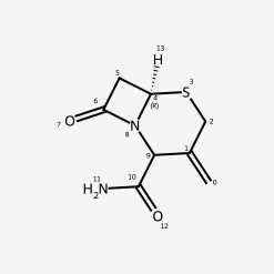 C=C1CS[C@@H]2CC(=O)N2C1C(N)=O